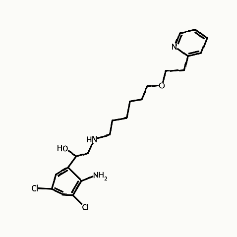 Nc1c(Cl)cc(Cl)cc1C(O)CNCCCCCCOCCc1ccccn1